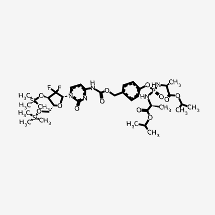 CC(C)OC(=O)[C@H](C)NP(=O)(N[C@@H](C)C(=O)OC(C)C)Oc1ccc(COC(=O)Nc2ccn([C@@H]3O[C@H](CO[Si](C)(C)C)[C@@H](O[Si](C)(C)C)C3(F)F)c(=O)n2)cc1